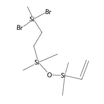 C=C[Si](C)(C)O[Si](C)(C)CC[Si](C)(Br)Br